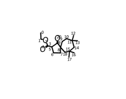 CCOC(=O)C1CCC2(CCC(C)(C)CC(C)(C)C2)C1=O